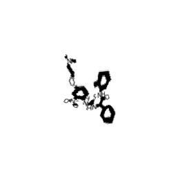 Cc1ccccc1NC(=O)C(NC(=S)Nc1ccc(OCCN(C)C)cc1[N+](=O)[O-])c1ccccc1